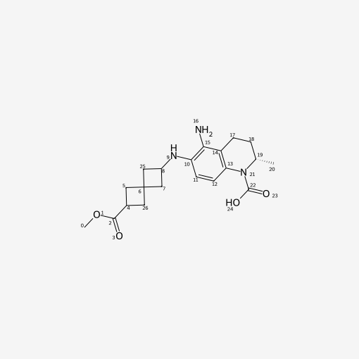 COC(=O)C1CC2(CC(Nc3ccc4c(c3N)CC[C@H](C)N4C(=O)O)C2)C1